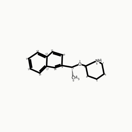 C[C@@H](OC1CCCCN1)c1ccc2ccccc2c1